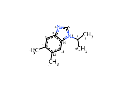 Cc1cc2ncn(C(C)C)c2cc1C